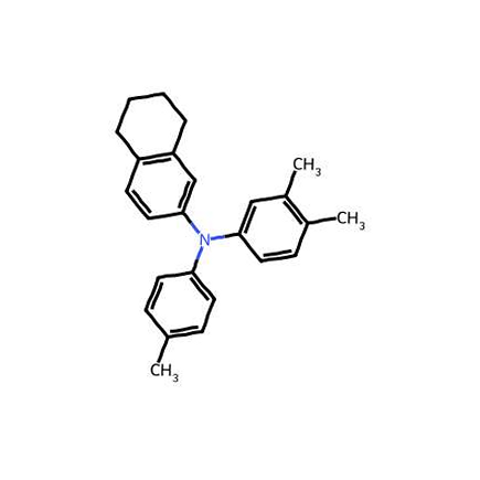 Cc1ccc(N(c2ccc(C)c(C)c2)c2ccc3c(c2)CCCC3)cc1